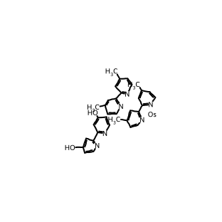 Cc1ccnc(-c2cc(C)ccn2)c1.Cc1ccnc(-c2cc(C)ccn2)c1.Oc1ccnc(-c2cc(O)ccn2)c1.[Os]